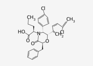 C=C(/C=C\C(Cl)=C/C)[C@@H]1O[C@@H](Cc2ccccc2)C(=O)N([C@H](CCC)C(=O)O)[C@@H]1c1ccc(Cl)cc1